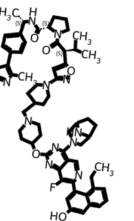 CCc1cccc2cc(O)cc(-c3ncc4c(N5CC6CCC(C5)N6)nc(OC5CCN(CC6CCN(c7cc([C@@H](C(=O)N8CCC[C@H]8C(=O)N[C@@H](C)c8ccc(-c9scnc9C)cc8)C(C)C)on7)CC6)CC5)nc4c3F)c12